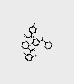 Cc1ccc(NC(=O)[C@H]2CCCN(C(=O)c3c(C)cccc3F)[C@H]2c2ccc(NC3CCOCC3)cc2)cc1